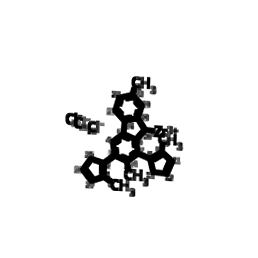 CC1=C(c2cc3c(c(C4=C(C)C=CC4)c2C)[CH]([Zr+3])c2cc(C)ccc2-3)CC=C1.[Cl-].[Cl-].[Cl-]